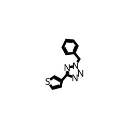 c1ccc(Cn2nnc(-c3ccsc3)n2)cc1